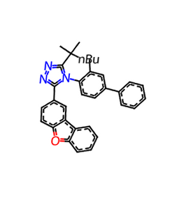 CCCCC(C)(C)c1nnc(-c2ccc3oc4ccccc4c3c2)n1-c1ccc(-c2ccccc2)cc1C